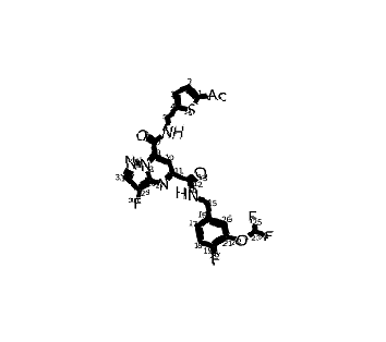 CC(=O)c1ccc(CNC(=O)c2cc(C(=O)NCc3ccc(F)c(OC(F)F)c3)nc3c(F)cnn23)s1